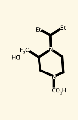 CCC(CC)N1CCN(C(=O)O)CC1C(F)(F)F.Cl